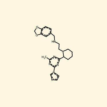 Cc1nc(C2CCCCN2CCNCc2ccc3c(c2)OCO3)nc(-n2ccnc2)n1